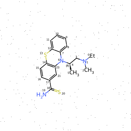 CCN(C)C[C@@H](C)N1c2ccccc2Sc2ccc(C(N)=S)cc21